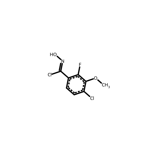 COc1c(Cl)ccc(C(Cl)=NO)c1F